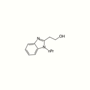 CCCn1c(CCO)nc2ccccc21